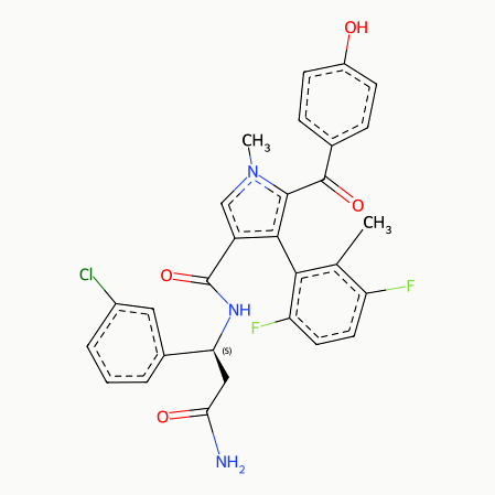 Cc1c(F)ccc(F)c1-c1c(C(=O)N[C@@H](CC(N)=O)c2cccc(Cl)c2)cn(C)c1C(=O)c1ccc(O)cc1